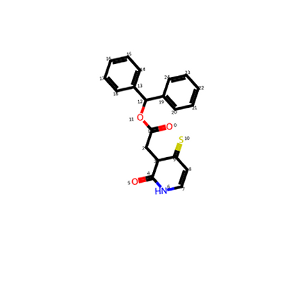 O=C(CC1C(=O)NC=CC1=S)OC(c1ccccc1)c1ccccc1